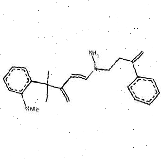 C=C(CCN(N)/C=C/C(=C)C(C)(C)c1ccccc1NC)c1ccccc1